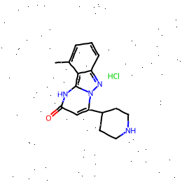 Cc1cccc2nn3c(C4CCNCC4)cc(=O)[nH]c3c12.Cl